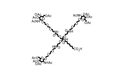 CC(=O)NC1C(OCCOCCOCCNC(=O)CCOCC(COCCC(=O)NCCOCCOCCOC2OC(COC(C)=O)C(OC(C)=O)C(OC(C)=O)C2NC(C)=O)(COCCC(=O)NCCOCCOCCOC2OC(COC(C)=O)C(OC(C)=O)C(OC(C)=O)C2NC(C)=O)NC(=O)CCCCCCC(=O)O)OC(COC(C)=O)C(OC(C)=O)C1OC(C)=O